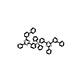 c1ccc(-c2cccc(-c3nc(-c4ccccc4)nc(-c4cccc([Si](c5ccccc5)(c5ccccc5)c5cccc(-c6nc(-c7ccccc7)nc(-c7cccc(-c8ccccc8)c7)n6)c5)c4)n3)c2)cc1